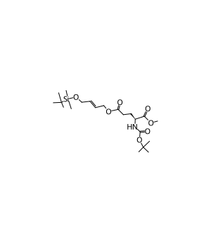 COC(=O)[C@H](CCC(=O)OC/C=C/CO[Si](C)(C)C(C)(C)C)NC(=O)OC(C)(C)C